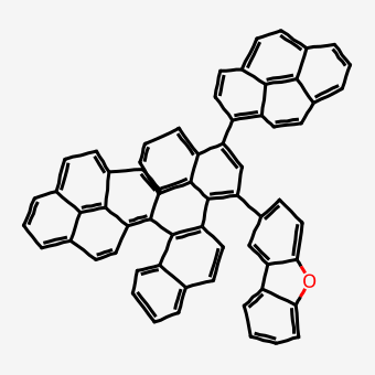 c1ccc2c(-c3ccc4ccc5cccc6ccc3c4c56)c(-c3c(-c4ccc5oc6ccccc6c5c4)cc(-c4ccc5ccc6cccc7ccc4c5c67)c4ccccc34)ccc2c1